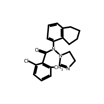 Cc1cccc(Cl)c1C(=O)N(c1cccc2c1CCCC2)N1C=NCC1